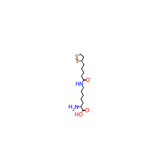 N[C@@H](CCCCCNC(=O)CCCC[C@@H]1CCSS1)C(=O)O